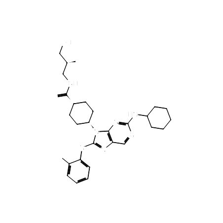 O=C(NC[C@H](O)CO)[C@H]1CC[C@@H](n2c(Nc3ccccc3F)nc3cnc(NC4CCCCC4)nc32)CC1